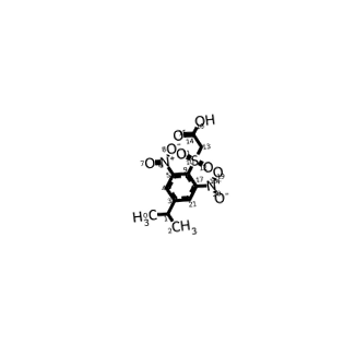 CC(C)c1cc([N+](=O)[O-])c(S(=O)(=O)CC(=O)O)c([N+](=O)[O-])c1